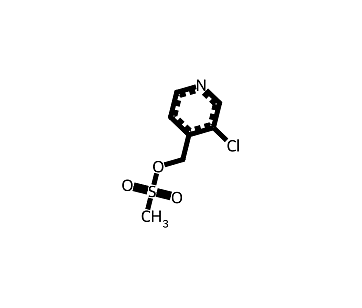 CS(=O)(=O)OCc1ccncc1Cl